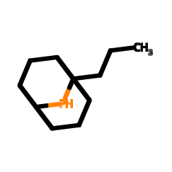 CCCC12CCCC(CCC1)P2